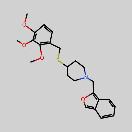 COc1ccc(CSC2CCN(Cc3occ4ccccc34)CC2)c(OC)c1OC